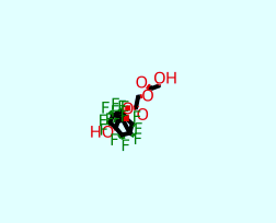 O=C(CO)OCC(=O)OC12C(F)(F)C3(O)C(F)(F)C(F)(C(F)(F)C(F)(C3(F)F)C1(F)F)C2(F)F